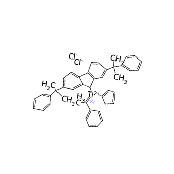 C/[C](c1ccccc1)=[Ti+2](/[C]1=CC=CC1)[CH]1c2cc(C(C)(C)c3ccccc3)ccc2-c2ccc(C(C)(C)c3ccccc3)cc21.[Cl-].[Cl-]